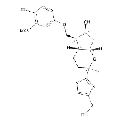 CCc1ccc(OC[C@@H]2[C@H]3CC[C@](C)(c4nc(CO)cs4)O[C@H]3C[C@@H]2O)cc1NC